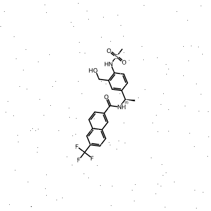 C[C@@H](NC(=O)c1ccc2cc(C(F)(F)F)ccc2c1)c1ccc(NS(C)(=O)=O)c(CO)c1